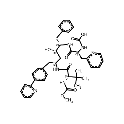 COC(=O)N[C@H](C(=O)N[C@@H](Cc1ccc(-c2ccccn2)cc1)C[C@H](O)[C@H](Cc1ccccc1)NC(=O)[C@H](Cc1ccccn1)NC(=O)O)C(C)(C)C